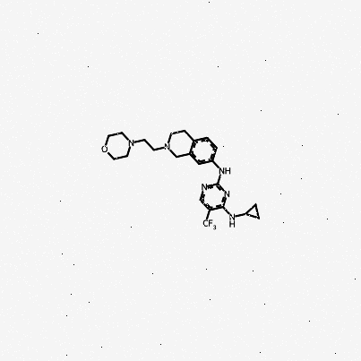 FC(F)(F)c1cnc(Nc2ccc3c(c2)CN(CCN2CCOCC2)CC3)nc1NC1CC1